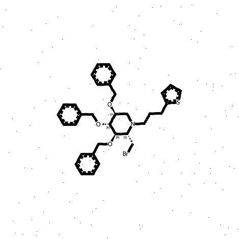 BrC[C@@H]1[C@@H](OCc2ccccc2)[C@H](OCc2ccccc2)[C@@H](OCc2ccccc2)CN1CCCc1cccs1